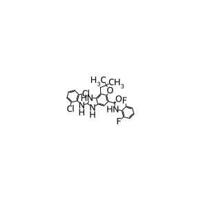 CC1(C)Cc2c3c(cc(C(=O)Nc4c(F)cccc4F)c2O1)NC(Nc1c(Cl)cccc1Cl)N3